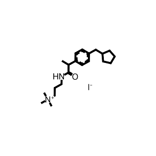 CC(C(=O)NCCC[N+](C)(C)C)c1ccc(CC2CCCC2)cc1.[I-]